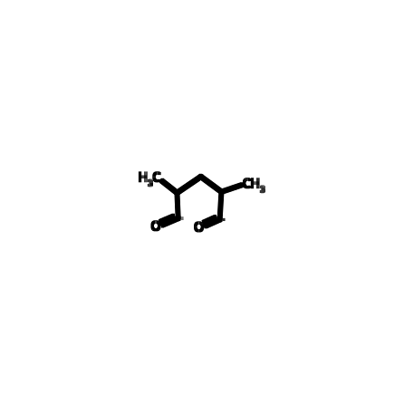 CC([C]=O)CC(C)[C]=O